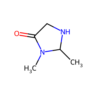 CC1NCC(=O)N1C